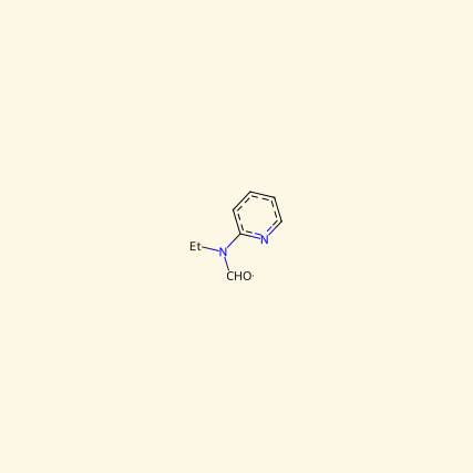 CCN([C]=O)c1ccccn1